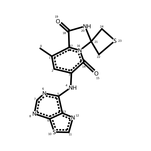 Cc1cc(Nc2ncnc3scnc23)c(=O)n2c1C(=O)NC21CSC1